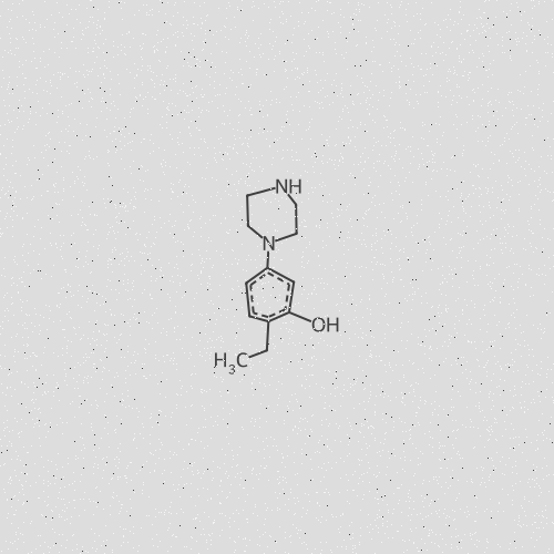 CCc1ccc(N2CCNCC2)cc1O